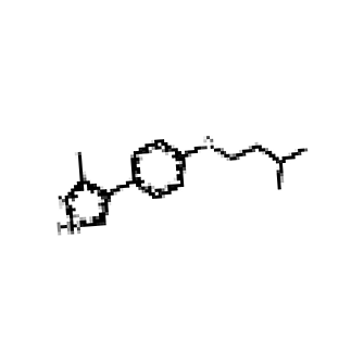 Cc1n[nH]cc1-c1ccc(OCCC(C)C)cc1